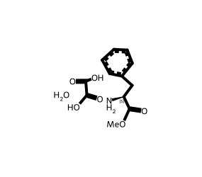 COC(=O)[C@@H](N)Cc1ccccc1.O.O=C(O)C(=O)O